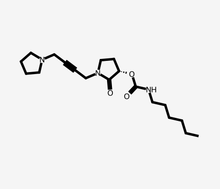 CCCCCCNC(=O)O[C@H]1CCN(CC#CCN2CCCC2)C1=O